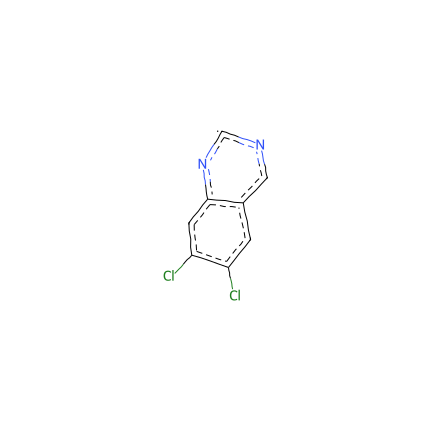 Clc1cc2cn[c]nc2cc1Cl